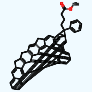 CCCCOC(=O)CCCC1(c2ccccc2)C2c3cc4c5c6c(cc7c8c9c%10c%11c(cc%12cc%13c%14c(c%15c3c5c3c%15c5c%14c%12c%11c5c9c3c68)C21C=%13)CC=%10C7)C4